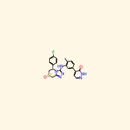 Cc1ccc(-c2ccn[nH]c2=O)cc1Nc1nnc2n1[C@H](c1ccc(F)cc1)C[S+]([O-])C2